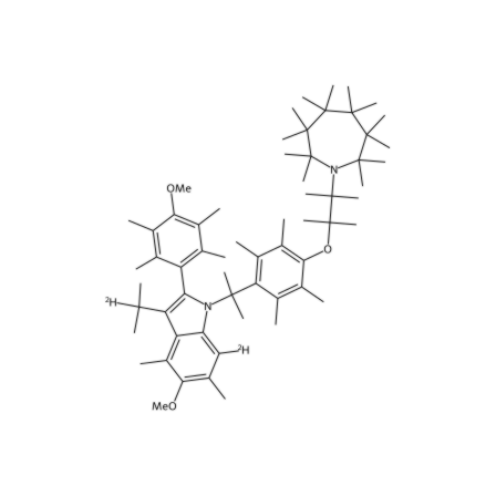 [2H]c1c(C)c(OC)c(C)c2c(C([2H])(C)C)c(-c3c(C)c(C)c(OC)c(C)c3C)n(C(C)(C)c3c(C)c(C)c(OC(C)(C)C(C)(C)N4C(C)(C)C(C)(C)C(C)(C)C(C)(C)C(C)(C)C4(C)C)c(C)c3C)c12